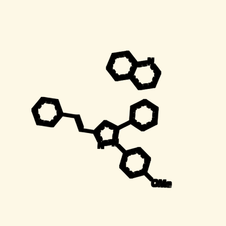 COc1ccc(-n2nc(C=Cc3ccccc3)cc2-c2ccccc2)cc1.c1ccc2ncccc2c1